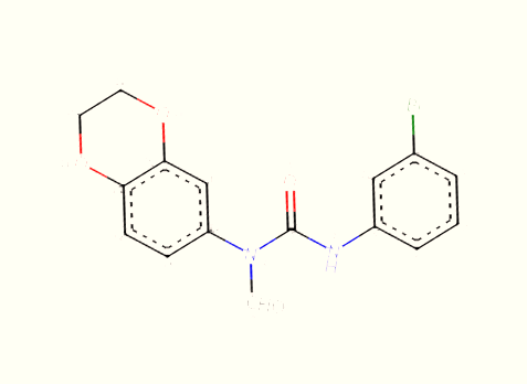 O=CN(C(=O)Nc1cccc(Br)c1)c1ccc2c(c1)OCCO2